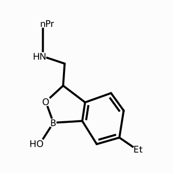 CCCNCC1OB(O)c2cc(CC)ccc21